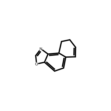 C1=Cc2ccc3ocnc3c2CC1